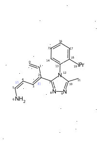 C=C/C(=C\C=C/N)c1nnc(C)n1-c1ccccc1C(C)C